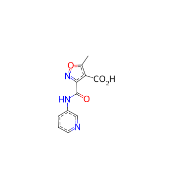 Cc1onc(C(=O)Nc2cccnc2)c1C(=O)O